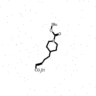 CCOC(=O)C=CCCC1CCN(C(=O)OC(C)(C)C)CC1